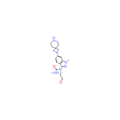 CNC(=O)N(CCC=O)c1nn(C)c2cc(N3CC4(CCNCC4)C3)ccc12